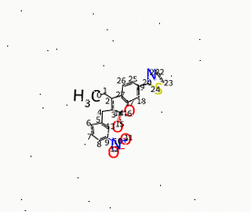 CCc1c(Cc2cccc([N+](=O)[O-])c2)c(=O)oc2cc(-c3nccs3)ccc12